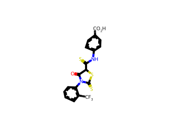 O=C(O)c1ccc(NC(=S)C2SC(=S)N(c3ccccc3C(F)(F)F)C2=O)cc1